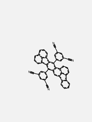 N#Cc1cc(C#N)cc(-c2c3cc4c5ccccc5c5cccc(c3c(-c3cc(C#N)cc(C#N)c3)c3c6cccc7cccc(c23)c76)c54)c1